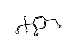 O=CC(F)(F)c1ccc(CBr)cc1Br